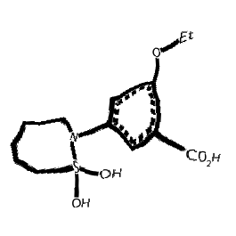 CCOc1cc(C(=O)O)cc(N2CCCCS2(O)O)c1